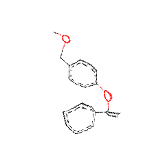 C=C(Oc1ccc(COC)cc1)c1ccccc1